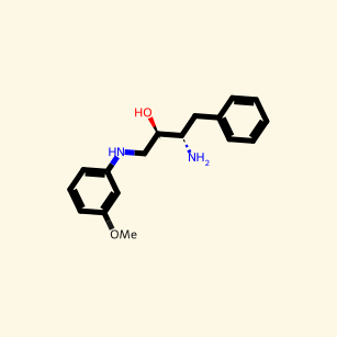 COc1cccc(NC[C@@H](O)[C@@H](N)Cc2ccccc2)c1